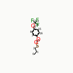 CCCSOOc1ccc(OC(F)(F)F)cc1